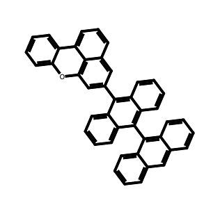 c1ccc2c(c1)Oc1cc(-c3c4ccccc4c(-c4c5ccccc5cc5ccccc45)c4ccccc34)cc3cccc-2c13